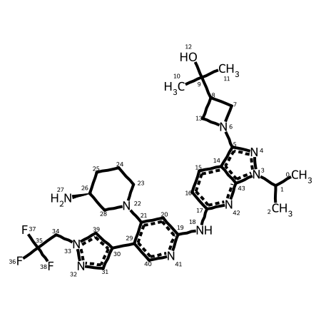 CC(C)n1nc(N2CC(C(C)(C)O)C2)c2ccc(Nc3cc(N4CCC[C@H](N)C4)c(-c4cnn(CC(F)(F)F)c4)cn3)nc21